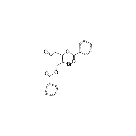 O=CCC(OC(=O)c1ccccc1)C(Br)COC(=O)c1ccccc1